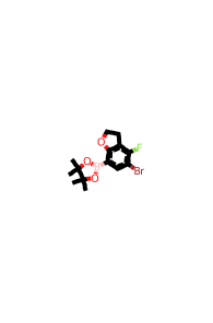 CC1(C)OB(c2cc(Br)c(F)c3c2OCC3)OC1(C)C